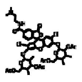 CC(=O)OCC1OC(Oc2cc3c(cc2Cl)C2(OC(=O)c4cc(C(=O)NCCN(C)C)ccc42)C2CC(Cl)C(OC4OC(COC(C)=O)C(C)C(OC(C)=O)C4C)C=C2O3)C(OC(C)=O)C(C)C1C